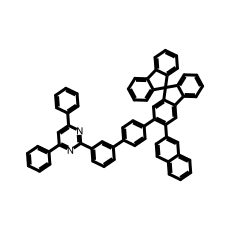 c1ccc(-c2cc(-c3ccccc3)nc(-c3cccc(-c4ccc(-c5cc6c(cc5-c5ccc7ccccc7c5)-c5ccccc5C65c6ccccc6-c6ccccc65)cc4)c3)n2)cc1